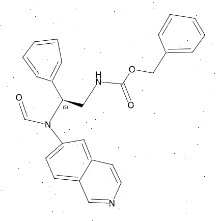 O=CN(c1ccc2cnccc2c1)[C@H](CNC(=O)OCc1ccccc1)c1ccccc1